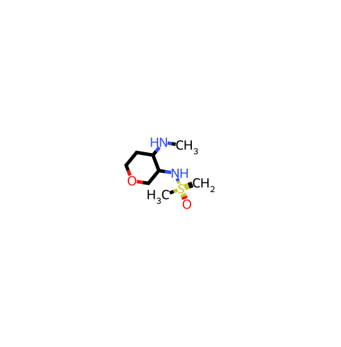 C=S(C)(=O)NC1COCCC1NC